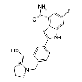 NC(=O)c1cc(F)cc2[nH]c(-c3ccc(CN4CCC[C@H]4CO)cc3)nc12